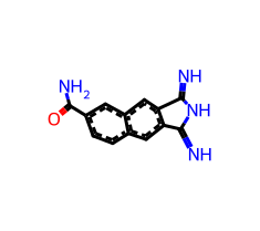 N=C1NC(=N)c2cc3cc(C(N)=O)ccc3cc21